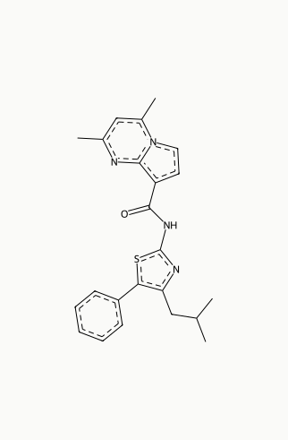 Cc1cc(C)n2ccc(C(=O)Nc3nc(CC(C)C)c(-c4ccccc4)s3)c2n1